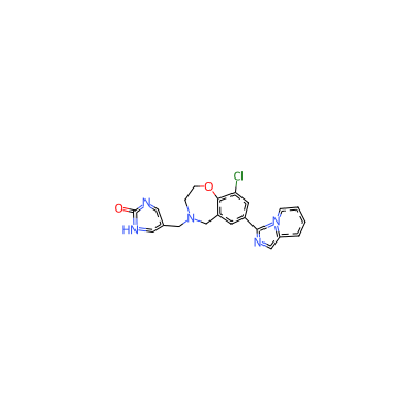 O=c1ncc(CN2CCOc3c(Cl)cc(-c4ncc5ccccn45)cc3C2)c[nH]1